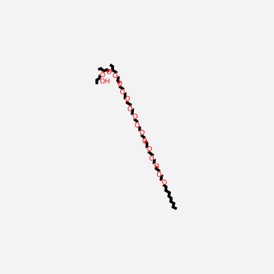 CCCCCCCCCCOCCOCCOCCOCCOCCOCCOCCOCCOCCOCCOCCOCCOCCOCC(CC)OCC(CC)OCC(O)CC